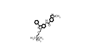 Cn1ncc2cc(C(=O)Nc3ccc4c(c3)c(-c3ccccc3)nn4COCC[Si](C)(C)C)ccc21